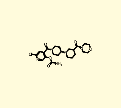 NC(=O)Oc1cnc(Cl)cc1C(=O)N1CCC(N2CCCC(C(=O)N3CCOCC3)C2)CC1